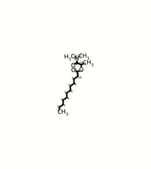 CCCCCCCCCCCC(=O)OC(C)C(=O)N(C)C